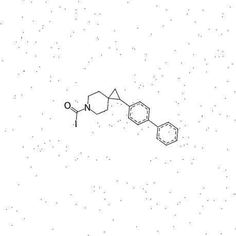 O=C(I)N1CCC2(CC1)CC2c1ccc(-c2ccccc2)cc1